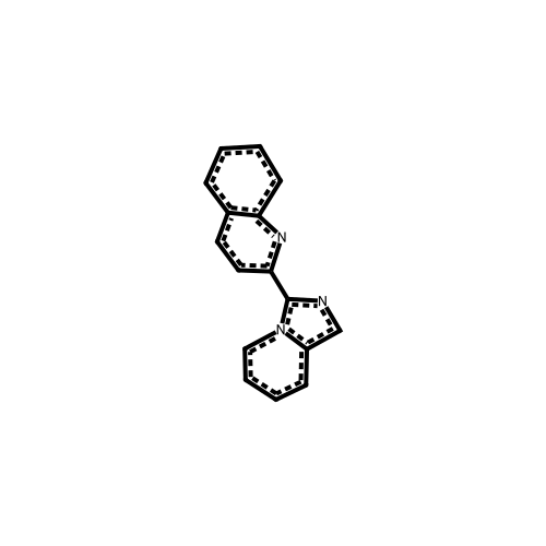 c1ccc2nc(-c3ncc4ccccn34)ccc2c1